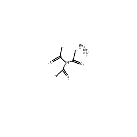 CC(=O)[BH-](C(C)=O)C(C)=O.[BH4-].[K+].[Na+]